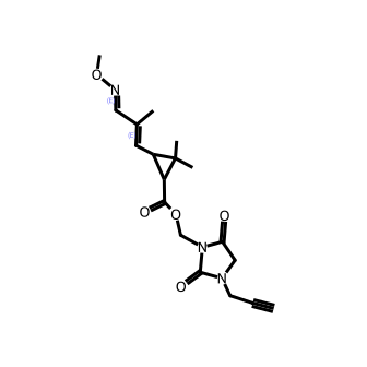 C#CCN1CC(=O)N(COC(=O)C2C(/C=C(C)/C=N/OC)C2(C)C)C1=O